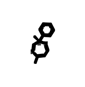 CC1=CC=N[C@@](C)(c2ccccc2)C=N1